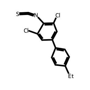 CCc1ccc(-c2cc(Cl)c(N=C=S)c(Cl)c2)cc1